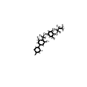 Cc1ccc(-c2cc(F)c(C(F)(F)Oc3cc(F)c(OC(F)(F)C(F)=C(F)F)c(F)c3)c(F)c2)cc1